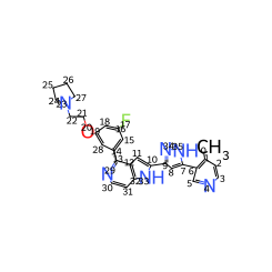 Cc1ccncc1-c1cc(-c2cc3c(-c4cc(F)cc(OCCN5CCCC5)c4)nccc3[nH]2)n[nH]1